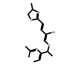 C/C=C(\N=C(C)C)C(C)O/C=C(/C=C/C1=NC(C)CO1)CCC